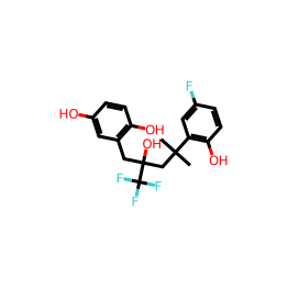 CC(C)(CC(O)(Cc1cc(O)ccc1O)C(F)(F)F)c1cc(F)ccc1O